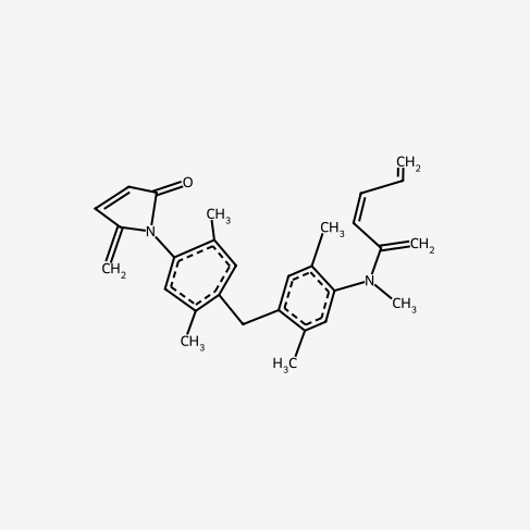 C=C/C=C\C(=C)N(C)c1cc(C)c(Cc2cc(C)c(N3C(=C)C=CC3=O)cc2C)cc1C